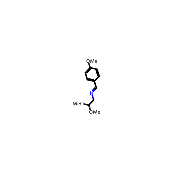 COc1ccc(/C=N/CC(OC)OC)cc1